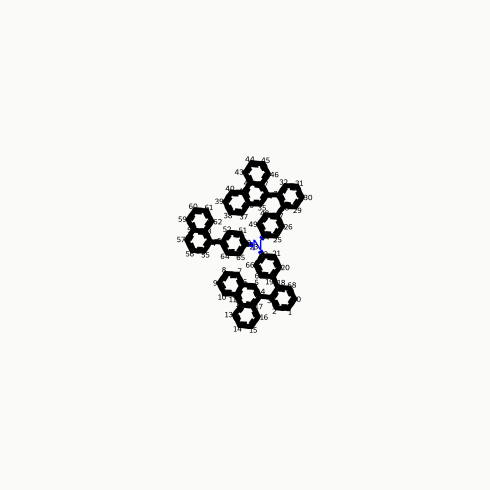 c1ccc(-c2cc3ccccc3c3ccccc23)c(-c2ccc(N(c3ccc(-c4ccccc4-c4cc5ccccc5c5ccccc45)cc3)c3ccc(-c4cccc5ccccc45)cc3)cc2)c1